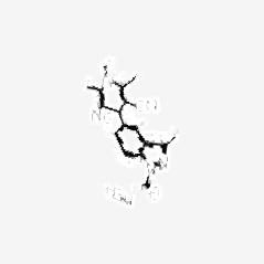 [C-]#[N+]C1=C(C)N(C)C(C)=C(C#N)C1c1ccc2c(c1)c(C)nn2C(=O)OC(C)(C)C